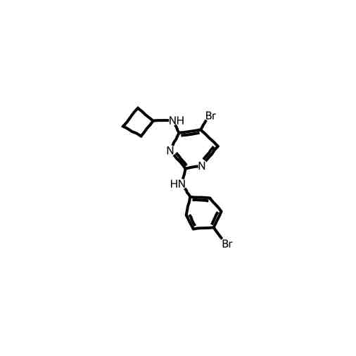 Brc1ccc(Nc2ncc(Br)c(NC3CCC3)n2)cc1